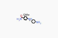 COc1cc(NC[C@H]2CC[C@H](N)CC2)ccc1C(N)=O